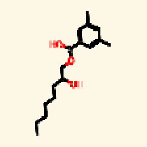 CCCCCCC(O)COB(O)c1cc(C)cc(C)c1